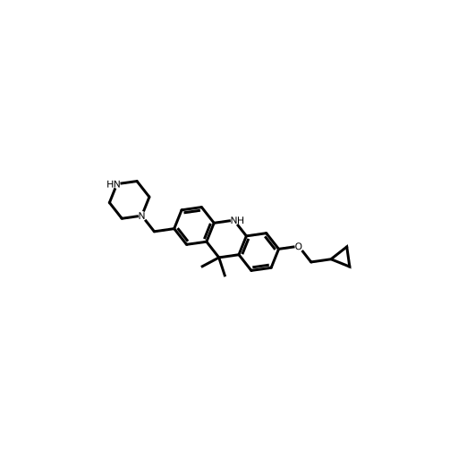 CC1(C)c2ccc(OCC3CC3)cc2Nc2ccc(CN3CCNCC3)cc21